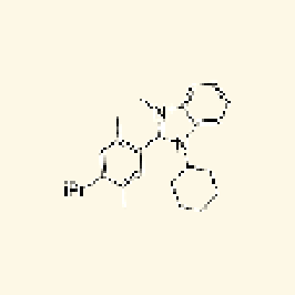 Cc1cc(C(C)C)c(C)cc1-c1n(C2CCCCC2)c2ccccc2[n+]1C